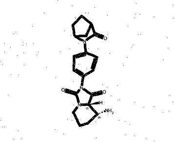 N[C@@H]1CCCN2C(=O)N(c3ccc(N4C(=O)C5CCC4C5)cc3)C(=O)[C@H]12